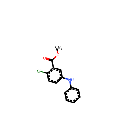 COC(=O)c1cc(Nc2ccccc2)ccc1Cl